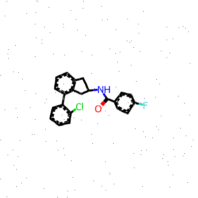 O=C(NC1Cc2cccc(-c3ccccc3Cl)c2C1)c1ccc(F)cc1